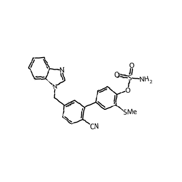 CSc1cc(-c2cc(Cn3cnc4ccccc43)ccc2C#N)ccc1OS(N)(=O)=O